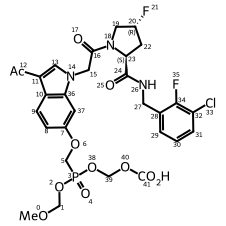 COCOP(=O)(COc1ccc2c(C(C)=O)cn(CC(=O)N3C[C@H](F)C[C@H]3C(=O)NCc3cccc(Cl)c3F)c2c1)OCOC(=O)O